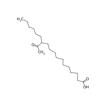 CCCCCCC(CCCCCCCCCCC(=O)O)C(C)=O